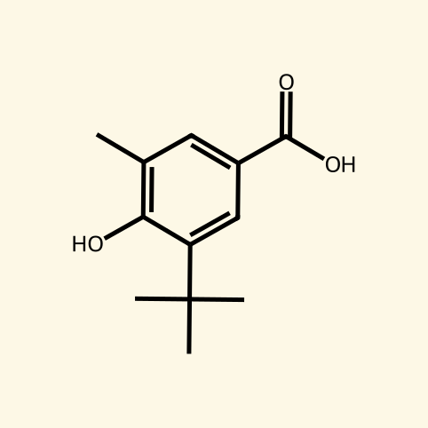 Cc1cc(C(=O)O)cc(C(C)(C)C)c1O